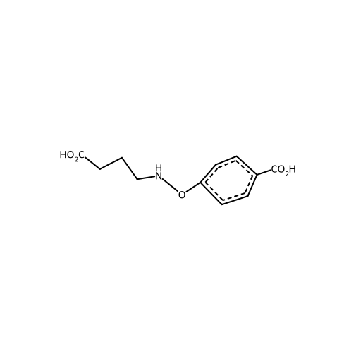 O=C(O)CCCNOc1ccc(C(=O)O)cc1